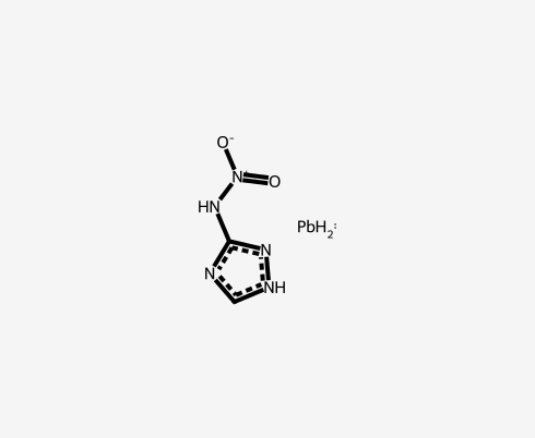 O=[N+]([O-])Nc1nc[nH]n1.[PbH2]